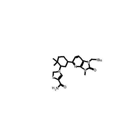 Cn1c(=O)n(CC(C)(C)C)c2ccc(C3CCC(C)(C)C(N4C=C(C(N)=O)SC4)C3)nc21